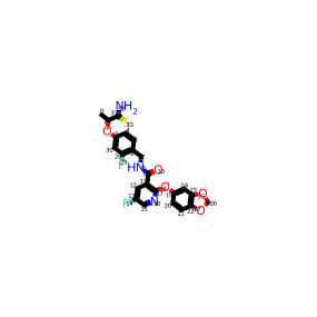 CC(Oc1ccc(CNC(=O)c2cc(F)cnc2Oc2ccc3c(c2)OCO3)c(F)c1)C(N)=S